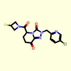 O=C1CCC(C(=O)N2CC(F)C2)n2c1nn(Cc1ccc(Cl)cn1)c2=O